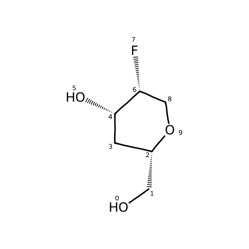 OC[C@@H]1C[C@H](O)[C@H](F)CO1